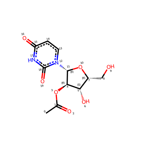 CC(=O)O[C@@H]1[C@@H](O)[C@@H](CO)O[C@H]1n1ccc(=O)[nH]c1=O